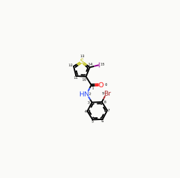 O=C(Nc1ccccc1Br)c1ccsc1I